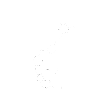 O=C(O)c1ccc2nc(CN3CCC(Oc4cccc(COc5cc(Cl)cc(Cl)c5)c4)CC3)n(C[C@@H]3CCO3)c2c1